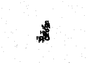 CCN(C[C@H]1CCC[C@@H]1Nc1nc2n(n1)CCCCC2c1ccc(F)c(F)c1F)c1cnnc(Cl)c1